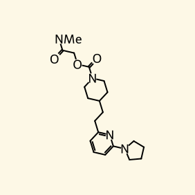 CNC(=O)COC(=O)N1CCC(CCc2cccc(N3CCCC3)n2)CC1